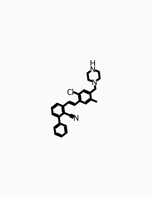 Cc1cc(/C=C/c2cccc(-c3ccccc3)c2C#N)c(Cl)cc1CN1CCNCC1